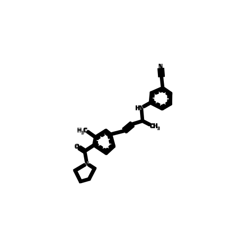 Cc1cc(C#CC(C)Nc2cccc(C#N)c2)ccc1C(=O)N1CCCC1